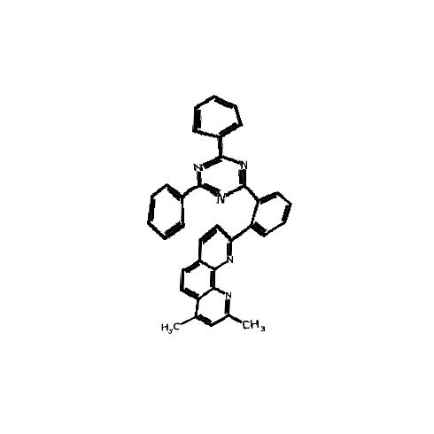 Cc1cc(C)c2ccc3ccc(-c4ccccc4-c4nc(-c5ccccc5)nc(-c5ccccc5)n4)nc3c2n1